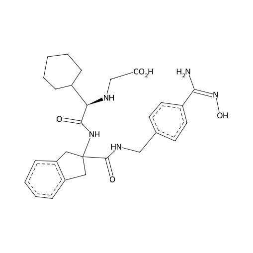 N/C(=N/O)c1ccc(CNC(=O)C2(NC(=O)[C@H](NCC(=O)O)C3CCCCC3)Cc3ccccc3C2)cc1